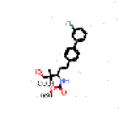 CCCCOC(=O)NC(CCc1ccc(-c2cccc(Cl)c2)cc1)C(C)(CO)C(=O)O